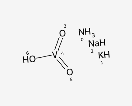 N.[KH].[NaH].[O]=[V](=[O])[OH]